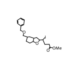 COC(=O)CCC(I)C1CC2CC(COCc3ccccc3)CCC2O1